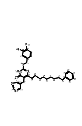 O=c1[nH]c(SCc2ccc(F)c(F)c2)nc(CCCCCCCCCc2ccccc2)c1Cc1cncnc1